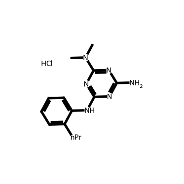 CCCc1ccccc1Nc1nc(N)nc(N(C)C)n1.Cl